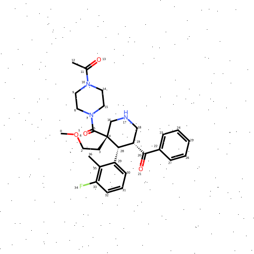 COCC[C@@]1(C(=O)N2CCN(C(C)=O)CC2)CNC[C@H](C(=O)c2ccccc2)[C@@H]1c1cccc(F)c1C